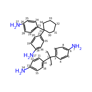 CC(C)(c1ccc(N)cc1)c1ccc(N)cc1.Nc1ccc(C2(c3ccc(N)cc3)CCCCC2)cc1